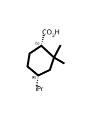 CC(C)[C@@H]1CC[C@H](C(=O)O)C(C)(C)C1